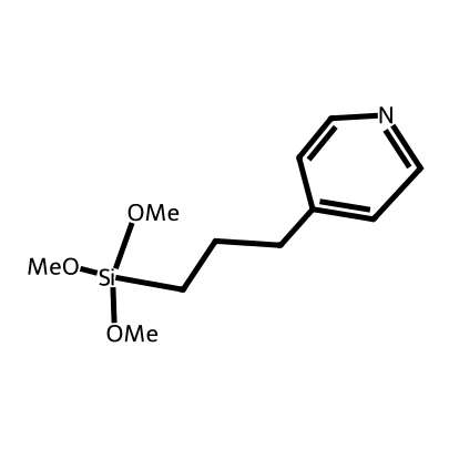 CO[Si](CCCc1ccncc1)(OC)OC